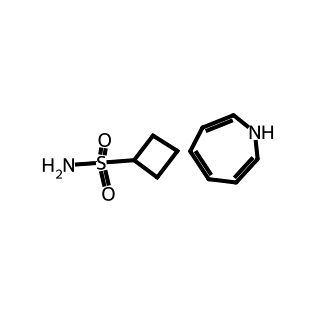 C1=CC=CNC=C1.NS(=O)(=O)C1CCC1